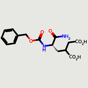 NC(=O)[C@H](CC(CC(=O)O)C(=O)O)NC(=O)OCc1ccccc1